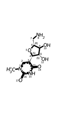 Cn1cc([C@@H]2O[C@H](CN)C(O)[C@@H]2O)c(=O)[nH]c1=O